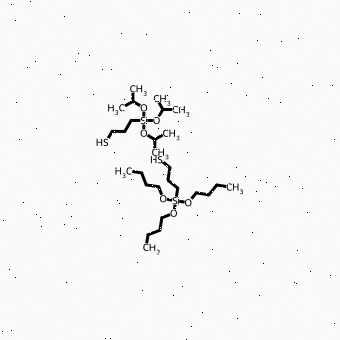 CC(C)O[Si](CCCS)(OC(C)C)OC(C)C.CCCCO[Si](CCCS)(OCCCC)OCCCC